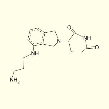 NCCCNc1cccc2c1CN(C1CCC(=O)NC1=O)C2